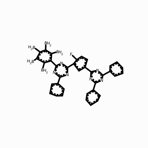 Bc1c(B)c(B)c(-c2nc(-c3ccccc3)nc(-c3cc(-c4nc(-c5ccccc5)nc(-c5ccccc5)n4)ccc3F)n2)c(B)c1B